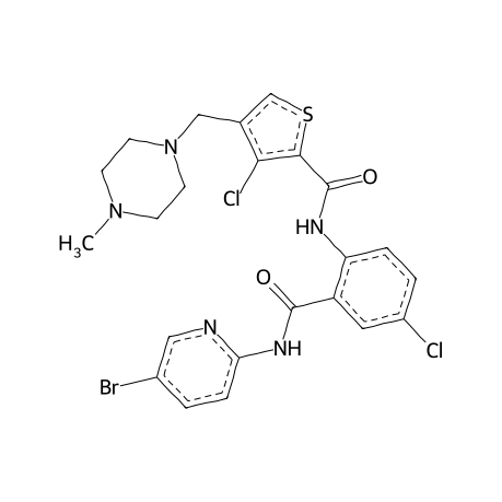 CN1CCN(Cc2csc(C(=O)Nc3ccc(Cl)cc3C(=O)Nc3ccc(Br)cn3)c2Cl)CC1